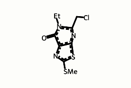 CCn1c(CCl)nc2sc(SC)nc2c1=O